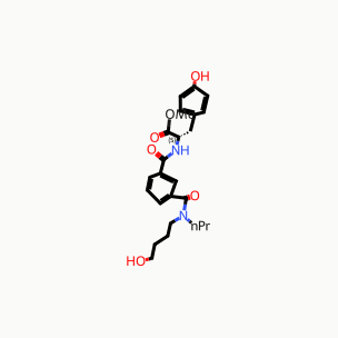 CCCN(CCCCO)C(=O)c1cccc(C(=O)N[C@@H](Cc2ccc(O)cc2)C(=O)OC)c1